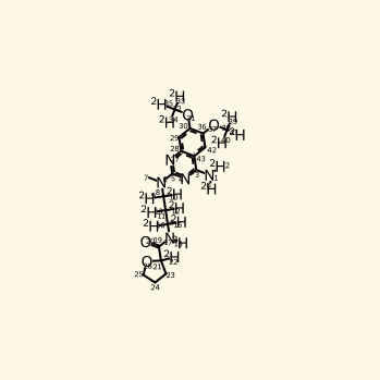 [2H]N([2H])c1nc(N(C)C([2H])([2H])C([2H])([2H])C([2H])([2H])N([2H])C(=O)C2([2H])CCCO2)nc2cc(OC([2H])([2H])[2H])c(OC([2H])([2H])[2H])cc12